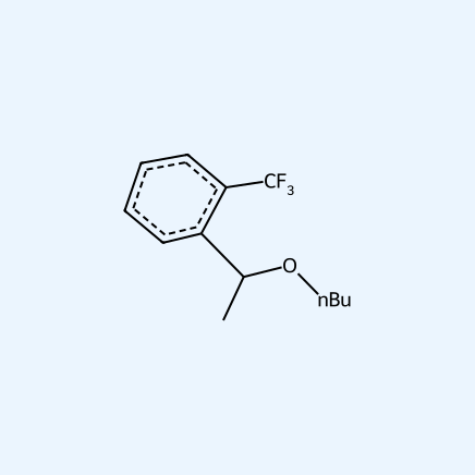 CCCCOC(C)c1ccccc1C(F)(F)F